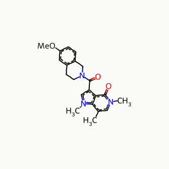 COc1ccc2c(c1)CCN(C(=O)c1cn(C)c3c(C)cn(C)c(=O)c13)C2